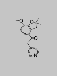 COc1ccc(C(=O)Cc2ccncc2)c2c1OC(C)(C)C2